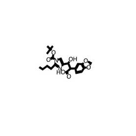 CCCCc1nc(C(O)C(C(=O)O)c2ccc3c(c2)OCO3)cn1C(=O)OC(C)(C)C